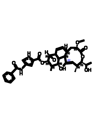 CO[C@H]1C[C@H]2C=CC3C4[C@H](O)[C@@H](C)[C@@H](OC(=O)c5cc(NC(=O)c6ccccc6)c[nH]5)[C@@H]3O[C@]42/C(C)=C/[C@@H](C)[C@@H](C(C)O)OC1=O